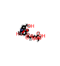 CC(=O)O[C@@H](CC(=O)O[C@@H](C)C(=O)OC1=CC[C@@]2(O)[C@H]3Cc4ccc(CO)c5c4[C@@]2(CCN3C)[C@H]1O5)C(=O)O